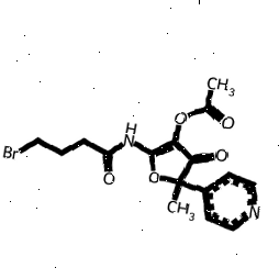 CC(=O)OC1=C(NC(=O)CCCBr)OC(C)(c2ccncc2)C1=O